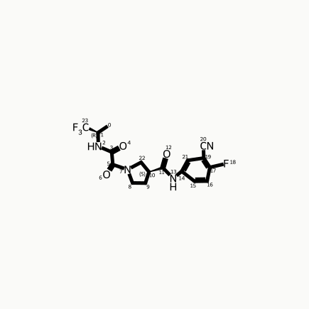 C[C@@H](NC(=O)C(=O)N1CC[C@H](C(=O)Nc2ccc(F)c(C#N)c2)C1)C(F)(F)F